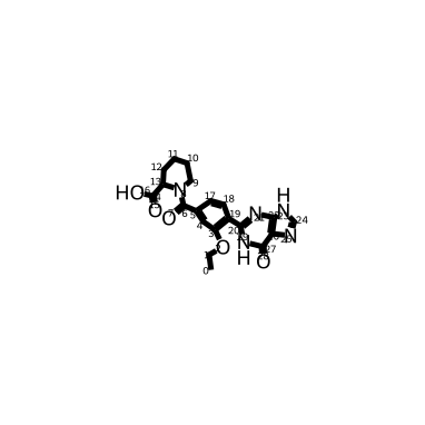 CCOc1cc(C(=O)N2CCCCC2C(=O)O)ccc1-c1nc2[nH]cnc2c(=O)[nH]1